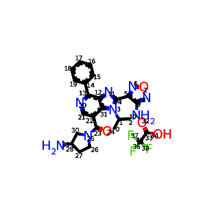 CC(C)n1c(-c2nonc2N)nc2c(-c3ccccc3)ncc(C(=O)N3CCC(N)C3)c21.O=C(O)C(F)(F)F